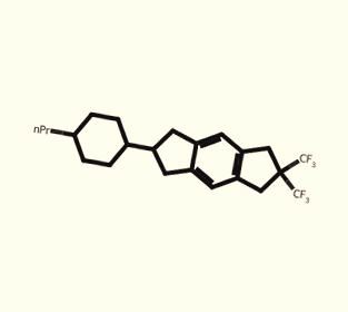 CCCC1CCC(C2Cc3cc4c(cc3C2)CC(C(F)(F)F)(C(F)(F)F)C4)CC1